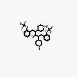 O=C(C(Cc1ccccc1OC(F)(F)F)C1CCNCC1)C(Cc1ccccc1OC(F)(F)F)C1CCNCC1